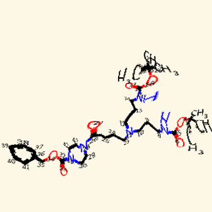 CC(C)(C)OC(=O)NCCCN(CCCNC(=O)OC(C)(C)C)CCCC(=O)N1CCN(C(=O)OCc2ccccc2)CC1